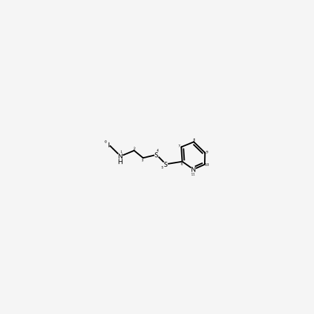 INCCSSc1ccccn1